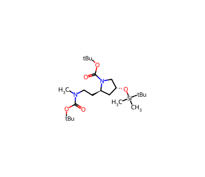 CN(CC[C@@H]1C[C@@H](O[Si](C)(C)C(C)(C)C)CN1C(=O)OC(C)(C)C)C(=O)OC(C)(C)C